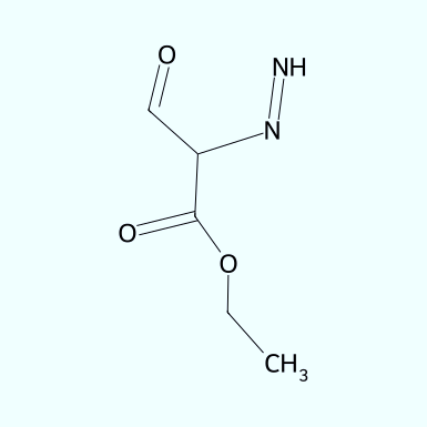 CCOC(=O)C(C=O)N=N